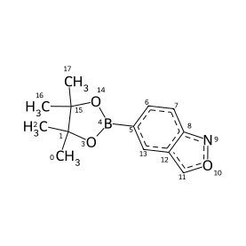 CC1(C)OB(c2ccc3nocc3c2)OC1(C)C